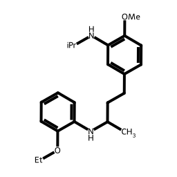 CCOc1ccccc1NC(C)CCc1ccc(OC)c(NC(C)C)c1